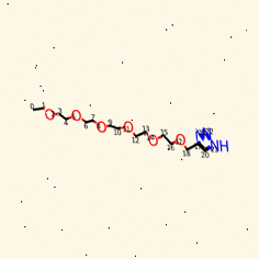 CCOCCOCCOCCOCCOCCOCc1c[nH]nn1